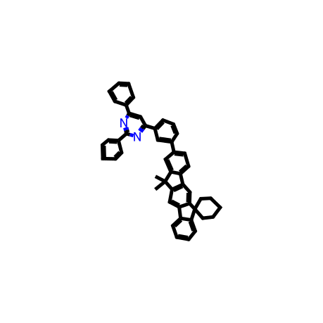 CC1(C)c2cc(-c3cccc(-c4cc(-c5ccccc5)nc(-c5ccccc5)n4)c3)ccc2-c2cc3c(cc21)-c1ccccc1C31CCCCC1